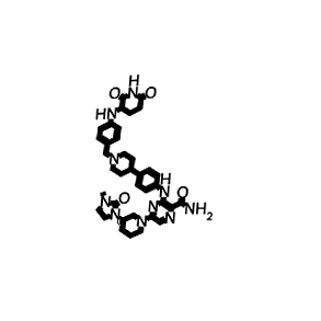 CN1CCN([C@@H]2CCCN(c3cnc(C(N)=O)c(Nc4ccc(C5CCN(Cc6ccc(NC7CCC(=O)NC7=O)cc6)CC5)cc4)n3)C2)C1=O